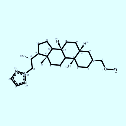 CCOC[C@H]1CC[C@@H]2C3CC[C@@]4(C)C(CCC4[C@@H](C)Cn4nccn4)[C@@H]3CC[C@@H]2C1